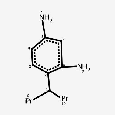 CC(C)C(c1ccc(N)cc1N)C(C)C